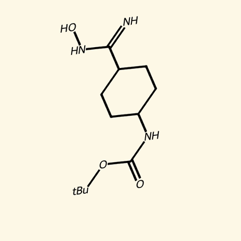 CC(C)(C)OC(=O)NC1CCC(C(=N)NO)CC1